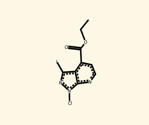 CCOC(=O)c1ccnc2c1c(I)nn2Cl